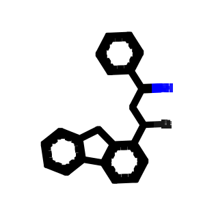 CCC(CC(=N)c1ccccc1)c1cccc2c1Cc1ccccc1-2